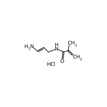 C=C(C)C(=O)NCC=CN.Cl